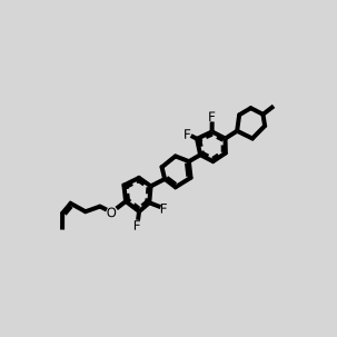 C/C=C\CCOc1ccc(C2=CC=C(c3ccc(C4CCC(C)CC4)c(F)c3F)CC2)c(F)c1F